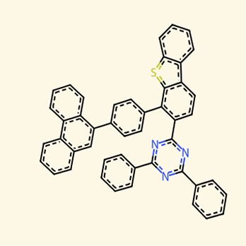 c1ccc(-c2nc(-c3ccccc3)nc(-c3ccc4c(sc5ccccc54)c3-c3ccc(-c4cc5ccccc5c5ccccc45)cc3)n2)cc1